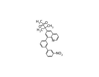 CC(C)(c1cc(-c2cccc(-c3cccc([N+](=O)[O-])c3)c2)c2ncccc2c1)S(C)(=O)=O